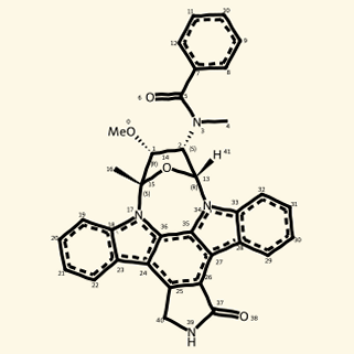 CO[C@@H]1[C@H](N(C)C(=O)c2ccccc2)[C@H]2O[C@]1(C)n1c3ccccc3c3c4c(c5c6ccccc6n2c5c31)C(=O)NC4